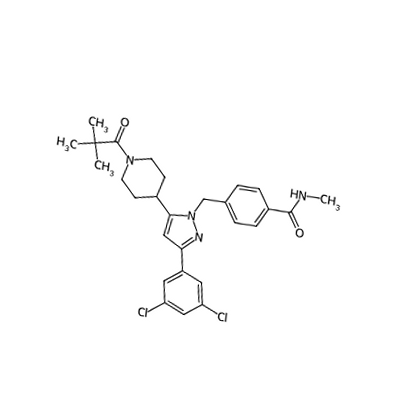 CNC(=O)c1ccc(Cn2nc(-c3cc(Cl)cc(Cl)c3)cc2C2CCN(C(=O)C(C)(C)C)CC2)cc1